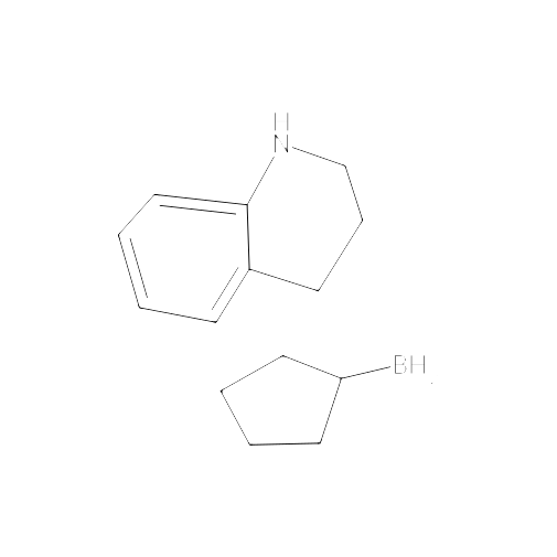 BC1CCCC1.c1ccc2c(c1)CCCN2